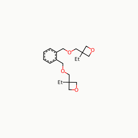 CCC1(COCc2ccccc2COCC2(CC)COC2)COC1